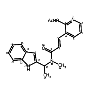 CC(=O)Nc1ncccc1C=CC(=O)N(C)C(C)c1cc2ccccc2[nH]1